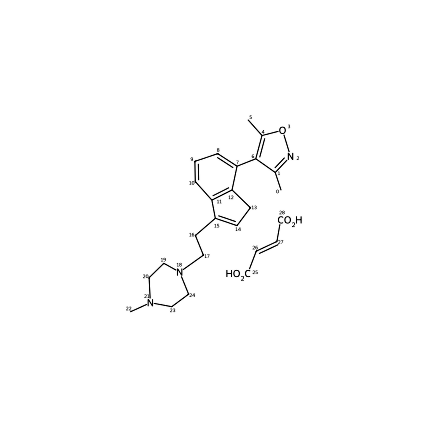 Cc1noc(C)c1-c1cccc2c1CC=C2CCN1CCN(C)CC1.O=C(O)C=CC(=O)O